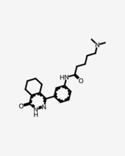 CN(C)CCCCC(=O)Nc1cccc(-c2n[nH]c(=O)c3c2CCCC3)c1